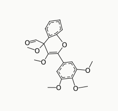 COC1=C(c2cc(OC)c(OC)c(OC)c2)Oc2ccccc2C1(C=O)OC